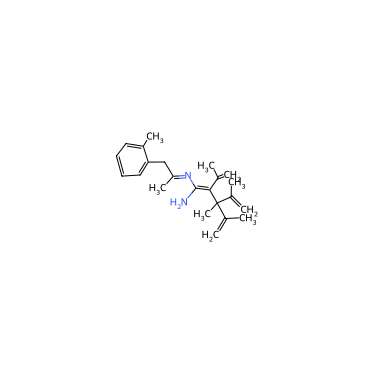 C=C(C)/C(=C(N)\N=C(/C)Cc1ccccc1C)C(C)(C(=C)C)C(=C)C